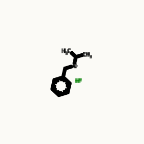 C[CH](C)[Al][CH2]c1ccccc1.F